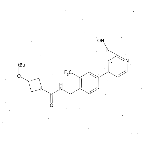 CC(C)(C)OC1CN(C(=O)NCc2ccc(-c3ccnc4c3N4N=O)cc2C(F)(F)F)C1